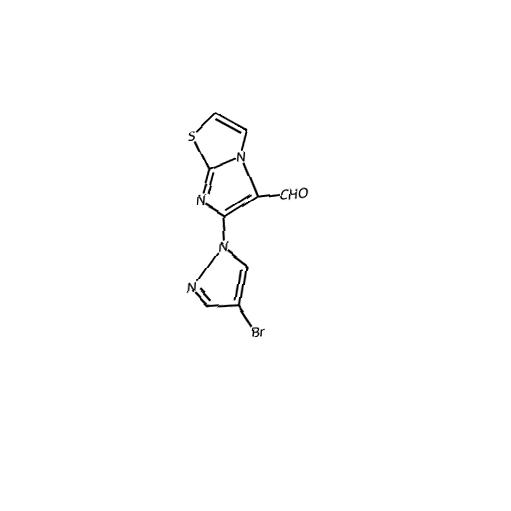 O=Cc1c(-n2cc(Br)cn2)nc2sccn12